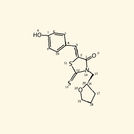 O=C1C(=Cc2ccc(O)cc2)SC(=S)N1C[C@H]1CCCO1